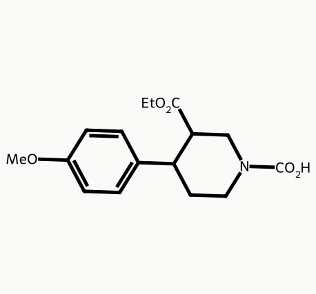 CCOC(=O)C1CN(C(=O)O)CCC1c1ccc(OC)cc1